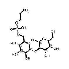 CC[C@H]1OC(CO)[C@@H](O)[C@H](O)C1O[C@H]1OC(COP(=O)(O)OCCN)[C@@H](O)[C@H](O)C1O